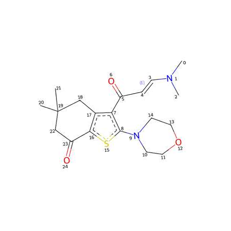 CN(C)/C=C/C(=O)c1c(N2CCOCC2)sc2c1CC(C)(C)CC2=O